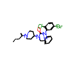 CCCC(C)N1CCC(N(Cc2ccccc2)C(=O)Nc2cc(Br)ccc2Cl)CC1